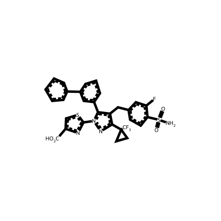 NS(=O)(=O)c1ccc(Cc2c(C3(C(F)(F)F)CC3)nn(-c3nc(C(=O)O)cs3)c2-c2cccc(-c3ccccc3)c2)cc1F